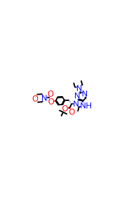 CCN(CC)c1ncc2c(n1)N([C@@H](Cc1ccc(OC(=O)N3CCOCC3)cc1)C(=O)OC(C)(C)C)C(C)N2